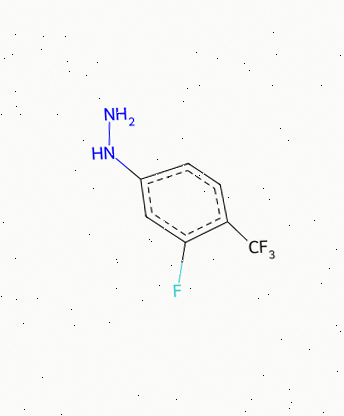 NNc1ccc(C(F)(F)F)c(F)c1